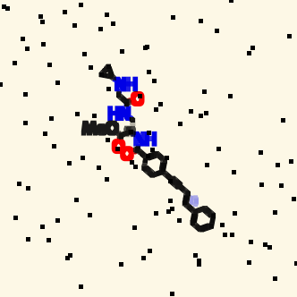 COC(=O)[C@H](CNC(=O)CNC1CC1)NC(=O)c1ccc(C#C/C=C/c2ccccc2)cc1